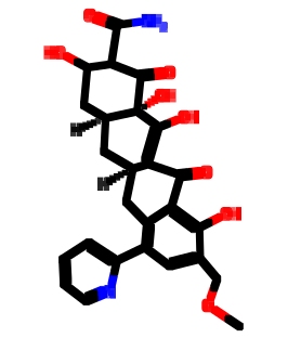 COCc1cc(-c2ccccn2)c2c(c1O)C(=O)C1=C(O)[C@]3(O)C(=O)C(C(N)=O)C(O)C[C@@H]3C[C@@H]1C2